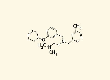 Cc1cccc(CN(CCN(C)C)Cc2cccc(Oc3ccccc3)c2)c1